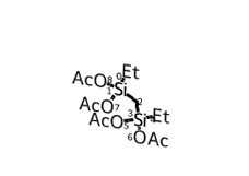 CC[Si](C[Si](CC)(OC(C)=O)OC(C)=O)(OC(C)=O)OC(C)=O